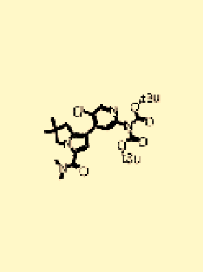 CN(C)C(=O)c1cc(-c2cc(N(C(=O)OC(C)(C)C)C(=O)OC(C)(C)C)ncc2Cl)c2n1CC(C)(C)C2